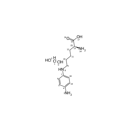 Cl.Cl.Cl.Nc1ccc(NCCCC[C@H](N)C(=O)O)cc1